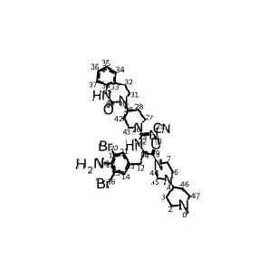 CN1CCC(N2CCN(C(=O)[C@@H](Cc3cc(Br)c(N)c(Br)c3)NC(=NC#N)N3CCC(N4CCc5ccccc5NC4=O)CC3)CC2)CC1